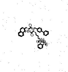 O=C1N[C@@H](Cc2ccc3ccccc3c2)C(=O)N(Cc2ccc(-c3ccccc3)cc2)[C@H]1CCCCNS(=O)(=O)c1ccccc1[N+](=O)[O-]